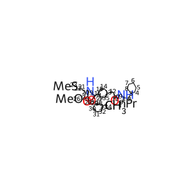 CCCC(CC1CCCCC1)NC(=O)Cc1ccc(C(=O)NC(CCSC)C(=O)OC)c(-c2ccccc2C)c1